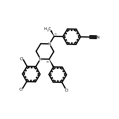 C[C@@H](c1ccc(C#N)cc1)N1CCN(c2ccc(Cl)cc2Cl)[C@H](c2ccc(Cl)cc2)C1